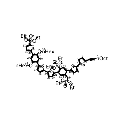 CCCCCCCCC#Cc1ccc(-c2ccc(-c3cc(P(=O)(OCC)OCC)c(-c4ccc(-c5ccc(-c6cc(OCCCCCC)c(-c7ccc(P(=O)(OCC)OCC)s7)cc6OCCCCCC)s5)s4)cc3CP(=O)(OCC)OCC)s2)s1